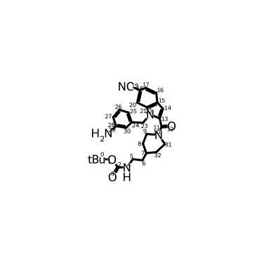 CC(C)(C)OC(=O)NCCC1CCN(C(=O)c2cc3ccc(C#N)cc3n2Cc2cccc(N)c2)CC1